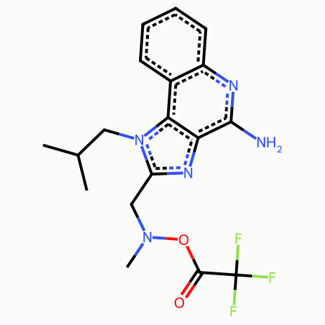 CC(C)Cn1c(CN(C)OC(=O)C(F)(F)F)nc2c(N)nc3ccccc3c21